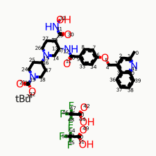 Cc1cc(COc2ccc(C(=O)N[C@@H]3CN(C4CCN(C(=O)OC(C)(C)C)CC4)CC[C@@H]3C(=O)NO)cc2)c2ccccc2n1.O=C(O)C(F)(F)F.O=C(O)C(F)(F)F